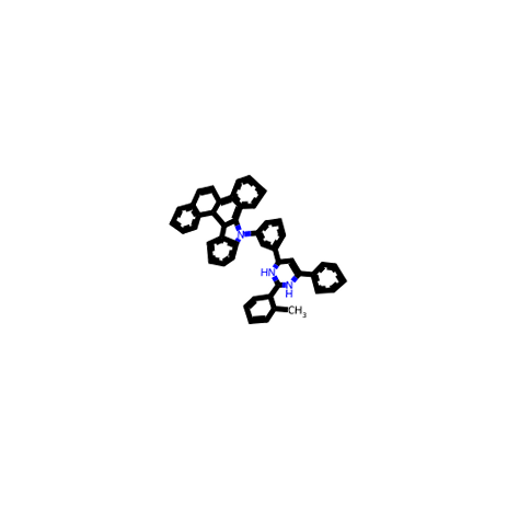 CC1C=CC=CC1C1NC(c2ccccc2)=CC(c2cccc(N3C4=c5ccccc5=C5C=Cc6ccccc6C5C4c4ccccc43)c2)N1